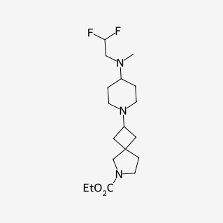 CCOC(=O)N1CCC2(CC(N3CCC(N(C)CC(F)F)CC3)C2)C1